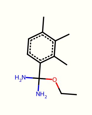 CCOC(N)(N)c1ccc(C)c(C)c1C